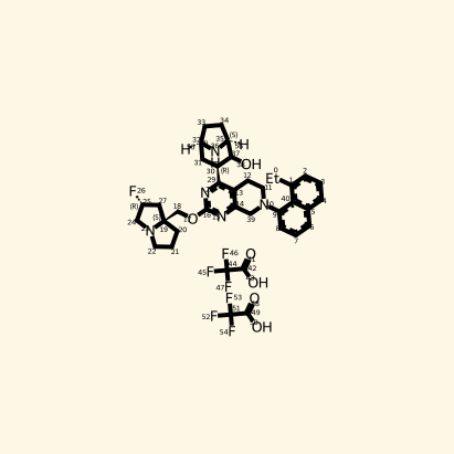 CCc1cccc2cccc(N3CCc4c(nc(OC[C@@]56CCCN5C[C@H](F)C6)nc4[C@H]4C[C@H]5CC[C@H](N5)C4O)C3)c12.O=C(O)C(F)(F)F.O=C(O)C(F)(F)F